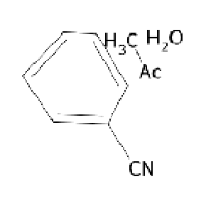 CC(C)=O.N#Cc1ccccc1.O